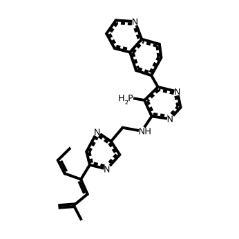 C=C(C)/C=C(\C=C/C)c1cnc(CNc2ncnc(-c3ccc4ncccc4c3)c2P)cn1